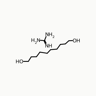 N=C(N)N.OCCCCCCCCCCO